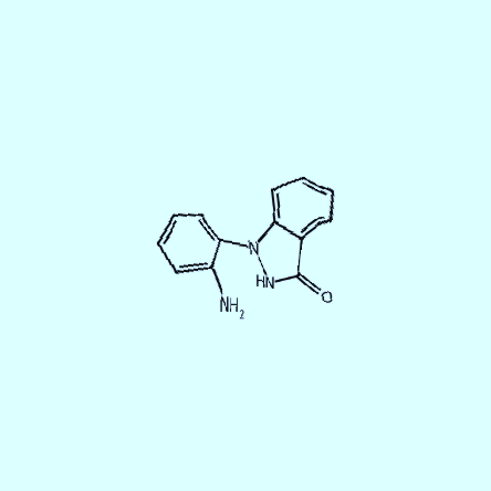 Nc1ccccc1-n1[nH]c(=O)c2ccccc21